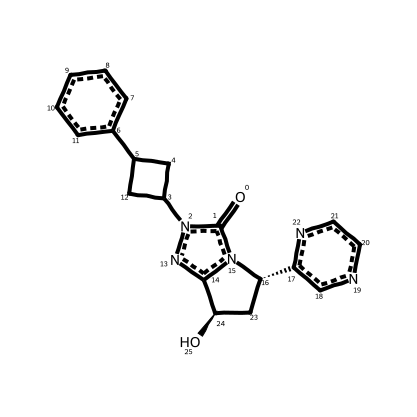 O=c1n(C2CC(c3ccccc3)C2)nc2n1[C@H](c1cnccn1)C[C@H]2O